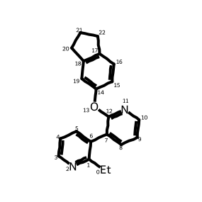 CCc1ncccc1-c1cccnc1Oc1ccc2c(c1)CCC2